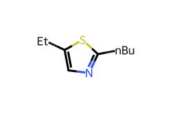 [CH2]Cc1cnc(CCCC)s1